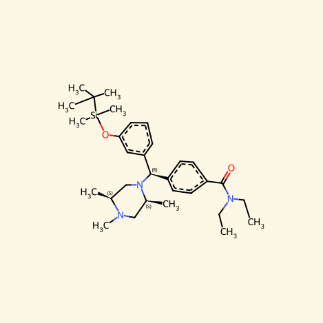 CCN(CC)C(=O)c1ccc([C@H](c2cccc(O[Si](C)(C)C(C)(C)C)c2)N2C[C@H](C)N(C)C[C@@H]2C)cc1